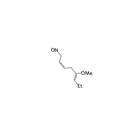 CCC=C(C/C=C\CN=O)OC